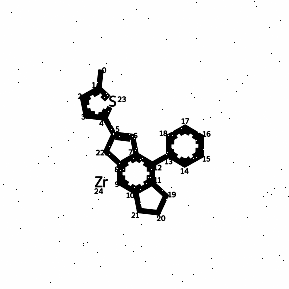 Cc1ccc(C2=Cc3c(cc4c(c3-c3ccccc3)CCC4)[CH]2)s1.[Zr]